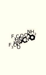 NC(=O)c1ccccc1N1CCC(CNC(=O)C(F)(F)F)(NC(=O)C(F)(F)F)CC1